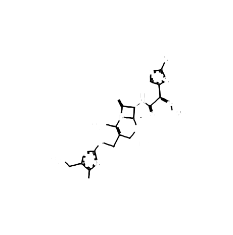 CO/N=C(\C(=O)N[C@@H]1C(=O)N2C(C(=O)O)=C(CSc3nc(C)c(CC(=O)O)s3)CS[C@H]12)c1csc(N)n1.O